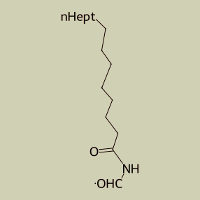 CCCCCCCCCCCCCCC(=O)N[C]=O